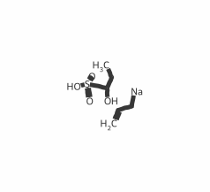 C=C[CH2][Na].CCC(O)S(=O)(=O)O